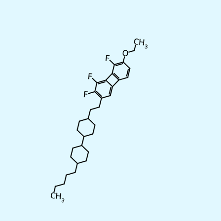 CCCCCC1CCC(C2CCC(CCc3cc4c(c(F)c3F)-c3c-4ccc(OCC)c3F)CC2)CC1